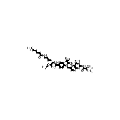 C=CCCCC(=O)NCCCC[C@H](NC(=O)c1ccc(N(Cc2cnc3nc(NC(=O)C(C)C)[nH]c(=O)c3n2)C(=O)C(F)(F)F)cc1)C(=O)OC